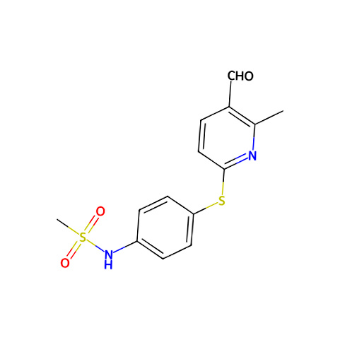 Cc1nc(Sc2ccc(NS(C)(=O)=O)cc2)ccc1C=O